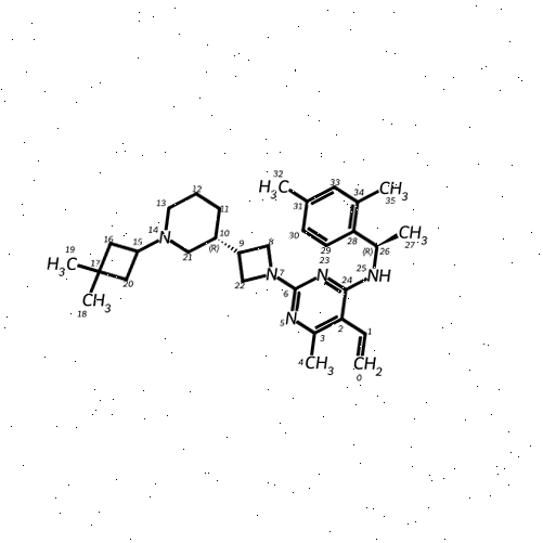 C=Cc1c(C)nc(N2CC([C@H]3CCCN(C4CC(C)(C)C4)C3)C2)nc1N[C@H](C)c1ccc(C)cc1C